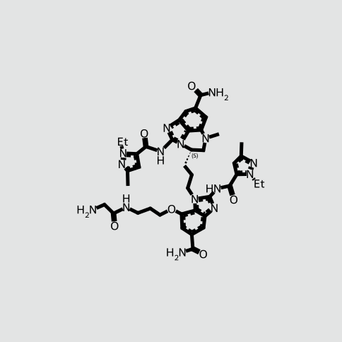 CCn1nc(C)cc1C(=O)Nc1nc2cc(C(N)=O)cc(OCCCNC(=O)CN)c2n1CCC[C@H]1CN(C)c2cc(C(N)=O)cc3nc(NC(=O)c4cc(C)nn4CC)n1c23